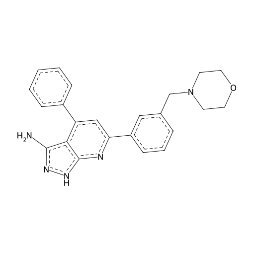 Nc1n[nH]c2nc(-c3cccc(CN4CCOCC4)c3)cc(-c3ccccc3)c12